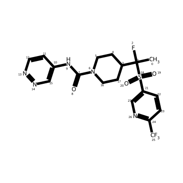 CC(F)(C1CCN(C(=O)Nc2ccnnc2)CC1)S(=O)(=O)c1ccc(C(F)(F)F)nc1